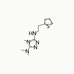 CN(C)c1nnc(NCCc2cccs2)n1C